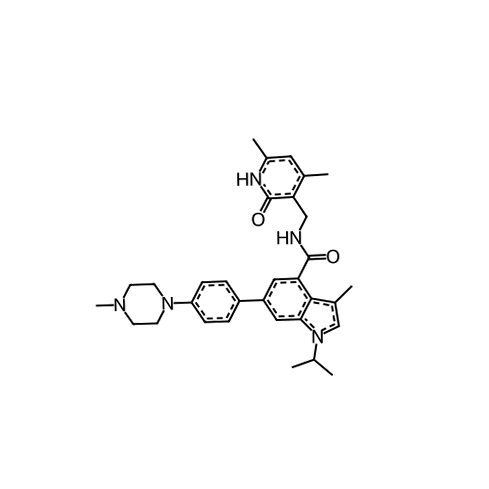 Cc1cc(C)c(CNC(=O)c2cc(-c3ccc(N4CCN(C)CC4)cc3)cc3c2c(C)cn3C(C)C)c(=O)[nH]1